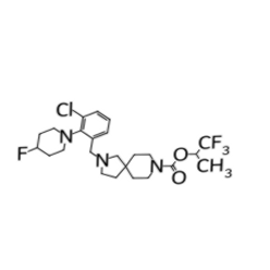 CC(OC(=O)N1CCC2(CCN(Cc3cccc(Cl)c3N3CCC(F)CC3)C2)CC1)C(F)(F)F